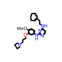 COc1ccc(Nc2nccc(NCCC3=CCCCC=C3)n2)cc1OCCCN1CCCC1